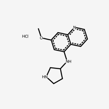 COc1cc(NC2CCNC2)c2cccnc2c1.Cl